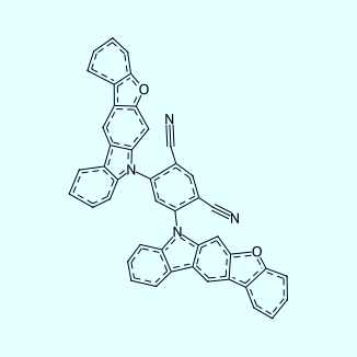 N#Cc1cc(C#N)c(-n2c3ccccc3c3cc4c(cc32)oc2ccccc24)cc1-n1c2ccccc2c2cc3c(cc21)oc1ccccc13